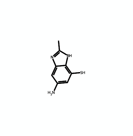 CC1=Nc2cc(N)cc(S)c2B1